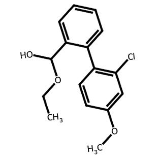 CCOC(O)c1ccccc1-c1ccc(OC)cc1Cl